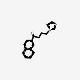 O=C(CCCn1ccnc1)c1ccc2ccccc2c1